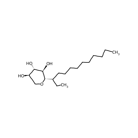 CCCCCCCCCCC(CC)[C@@H]1OC[C@@H](O)[C@H](O)[C@H]1O